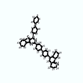 c1ccc(-c2ccc(-c3nc(-c4ccc(-c5ccc(-c6cc7cccnc7c7ccccc67)cc5)cc4)nc4c3sc3ccccc34)cc2)cc1